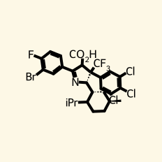 CC(C)C1CC[C@H](C)C[C@H]1[C@@H]1N=C(c2ccc(F)c(Br)c2)C(C(=O)O)C1(c1cc(Cl)c(Cl)c(Cl)c1)C(F)(F)F